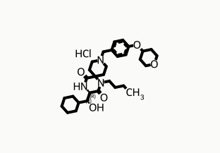 CCCCN1C(=O)[C@@H]([C@H](O)C2CCCCC2)NC(=O)C12CCN(Cc1ccc(OC3CCOCC3)cc1)CC2.Cl